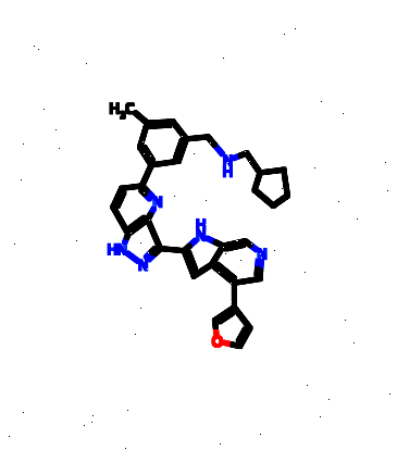 Cc1cc(CNCC2CCCC2)cc(-c2ccc3[nH]nc(-c4cc5c(-c6ccoc6)cncc5[nH]4)c3n2)c1